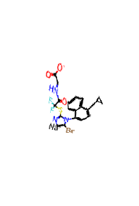 O=C([O-])CNC(=O)C(F)(F)Sc1ncc(Br)n1-c1ccc(C2CC2)c2ccccc12.[Na+]